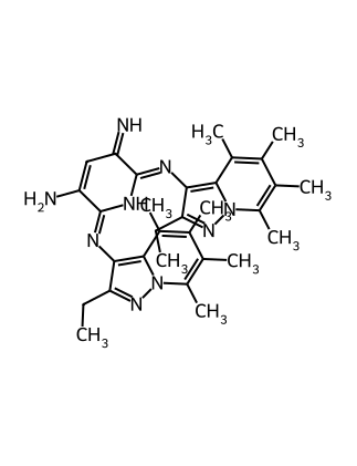 CCc1nn2c(C)c(C)c(C)c(C)c2c1/N=C1\N/C(=N\c2c(CC)nn3c(C)c(C)c(C)c(C)c23)C(N)=CC1=N